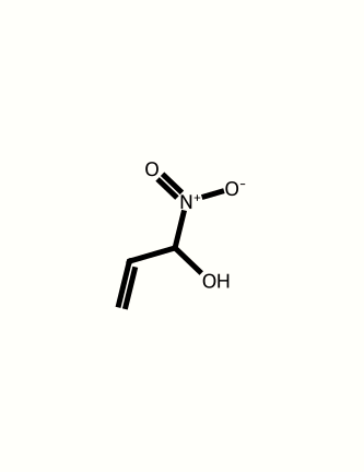 C=CC(O)[N+](=O)[O-]